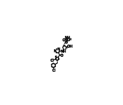 NS(=O)(=O)OC[C@H]1CC(Nc2ncncc2C(=O)c2cc(Cc3cccc(Cl)c3)c(Cl)s2)C[C@@H]1O